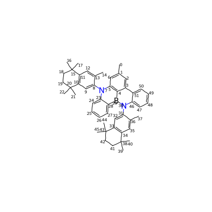 Cc1cc2c3c(c1)N(c1cc4c(cc1C)C(C)(C)CCC4(C)C)c1ccccc1B3N(c1cc3c(cc1C)C(C)(C)CCC3(C)C)c1ccccc1-2